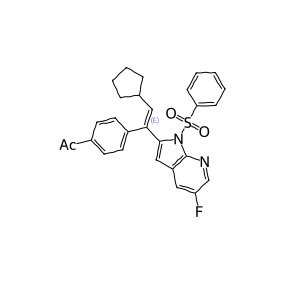 CC(=O)c1ccc(/C(=C\C2CCCC2)c2cc3cc(F)cnc3n2S(=O)(=O)c2ccccc2)cc1